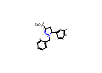 CCOC(=O)C1=NN(Cc2ccccc2)C(c2ccccc2)C1